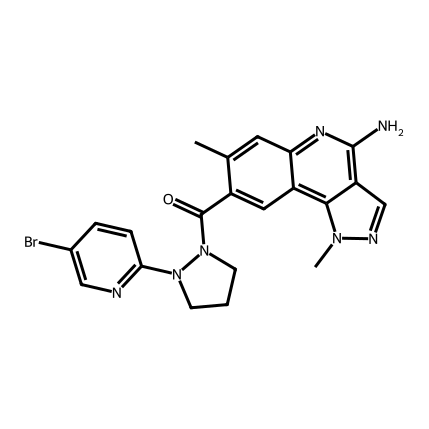 Cc1cc2nc(N)c3cnn(C)c3c2cc1C(=O)N1CCCN1c1ccc(Br)cn1